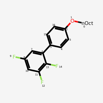 CCCCCCCCOc1ccc(-c2cc(F)cc(F)c2F)cc1